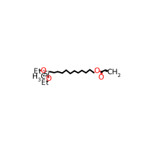 C=CC(=O)OCCCCCCCCCCCC[Si](C)(OCC)OCC